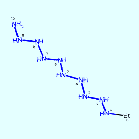 CCNNNNNNNNNN